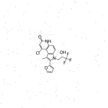 Cc1c(-c2ccco2)n(C[C@H](O)C(F)(F)F)c2ccc3[nH]c(=O)cc(Cl)c3c12